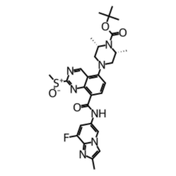 Cc1cn2cc(NC(=O)c3ccc(N4C[C@@H](C)N(C(=O)OC(C)(C)C)[C@@H](C)C4)c4cnc([S+](C)[O-])nc34)cc(F)c2n1